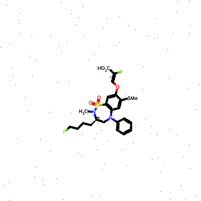 CSc1cc2c(cc1O/C=C(\F)C(=O)O)S(=O)(=O)N(C)[C@H](CCCCF)CN2c1ccccc1